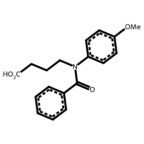 COc1ccc(N(CCCC(=O)O)C(=O)c2ccccc2)cc1